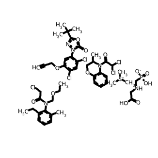 C#CCOc1cc(-n2nc(C(C)(C)C)oc2=O)c(Cl)cc1Cl.CC1COc2ccccc2N1C(=O)C(Cl)Cl.CCOCN(C(=O)CCl)c1c(C)cccc1CC.C[S+](C)C.O=C(O)CNCP(=O)([O-])O